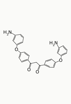 Nc1cccc(Oc2ccc(C(=O)CC(=O)c3ccc(Oc4cccc(N)c4)cc3)cc2)c1